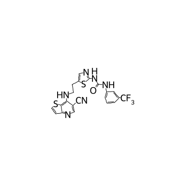 N#Cc1cnc2ccsc2c1NCCc1cnc(NC(=O)Nc2cccc(C(F)(F)F)c2)s1